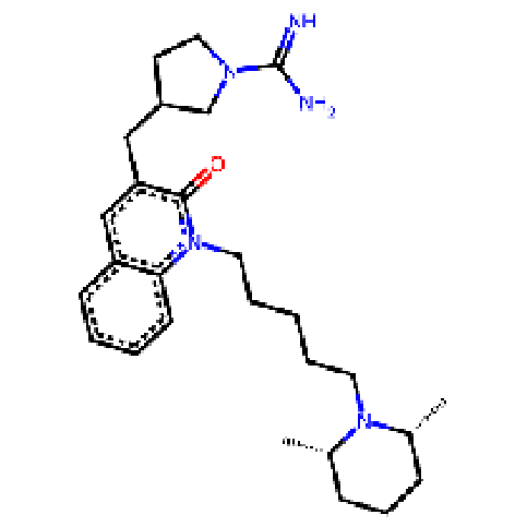 C[C@@H]1CCC[C@H](C)N1CCCCCn1c(=O)c(CC2CCN(C(=N)N)C2)cc2ccccc21